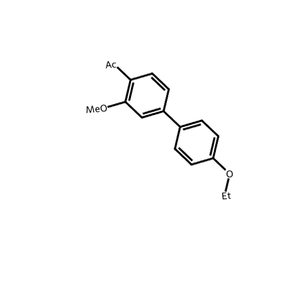 CCOc1ccc(-c2ccc(C(C)=O)c(OC)c2)cc1